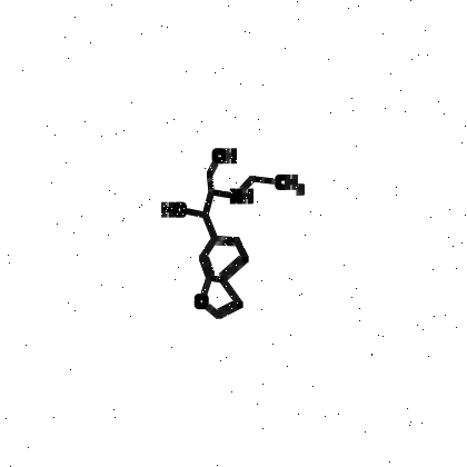 CCNC(CO)C(O)c1ccc2ccoc2c1